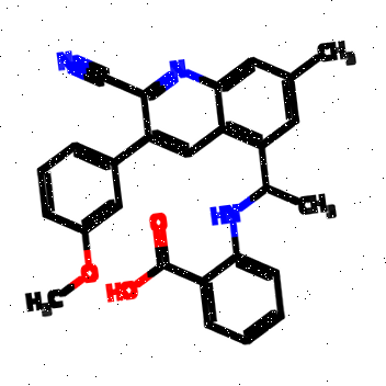 COc1cccc(-c2cc3c(C(C)Nc4ccccc4C(=O)O)cc(C)cc3nc2C#N)c1